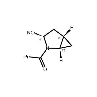 CC(C)C(=O)N1[C@H](C#N)C[C@@H]2C[C@@H]21